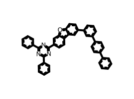 c1ccc(-c2ccc(-c3cccc(-c4ccc5oc6cc(-c7nc(-c8ccccc8)nc(-c8ccccc8)n7)ccc6c5c4)c3)cc2)cc1